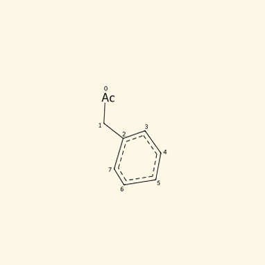 [CH2]C(=O)Cc1ccccc1